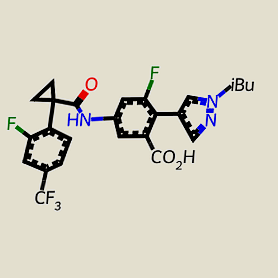 CCC(C)n1cc(-c2c(F)cc(NC(=O)C3(c4ccc(C(F)(F)F)cc4F)CC3)cc2C(=O)O)cn1